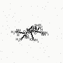 N=C(N)NCCCCC(=O)N(CCNC(=O)C(Cc1cnc[nH]1)N(CCNC(=O)C(CCCNC(=N)N)N(CCN)C(=O)CCS)C(=O)CCCCCC(N)=O)C(CCCCN)C(N)=O